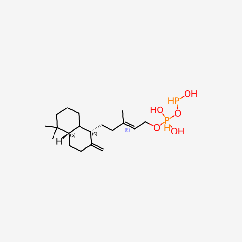 C=C1CC[C@H]2C(CCCC2(C)C)[C@@H]1CC/C(C)=C/CO[PH](O)(O)OPO